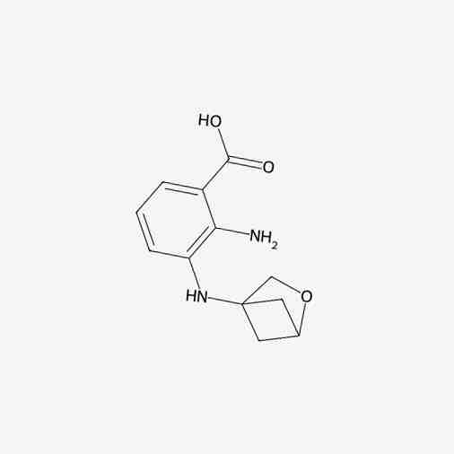 Nc1c(NC23COC(C2)C3)cccc1C(=O)O